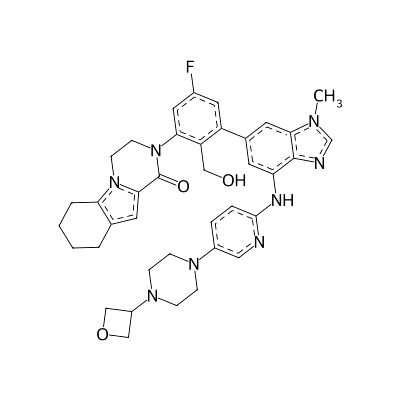 Cn1cnc2c(Nc3ccc(N4CCN(C5COC5)CC4)cn3)cc(-c3cc(F)cc(N4CCn5c(cc6c5CCCC6)C4=O)c3CO)cc21